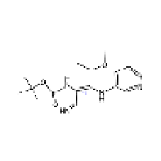 COC(C)/C(Nc1cccnc1)=C(/C=N)NC(=O)OC(C)(C)C